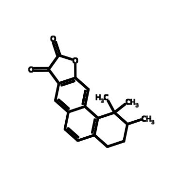 CC1CCc2ccc3cc4c(cc3c2C1(C)C)OC(=O)C4=O